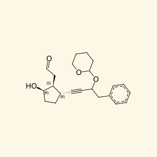 O=CC[C@@H]1[C@H](O)CC[C@H]1C#CC(Cc1ccccc1)OC1CCCCO1